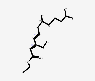 CCOC(=O)/C=C(/C=C/CC(C)CCCC(C)C)CC